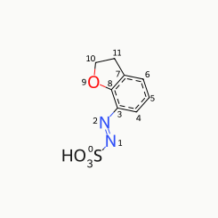 O=S(=O)(O)N=Nc1cccc2c1OCC2